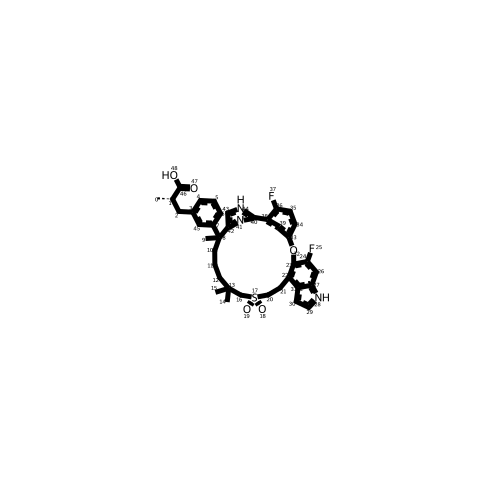 C[C@@H](Cc1cccc(C2(C)CCCC(C)(C)CS(=O)(=O)CCc3c(c(F)cc4[nH]ccc34)Oc3ccc(F)c(c3)-c3nc2c[nH]3)c1)C(=O)O